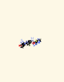 Cc1cnc2c(N)c(C(=O)NC3CCc4nc(N5CC(N)C6(CCCOC6)C5)cc(F)c4C3)sc2n1